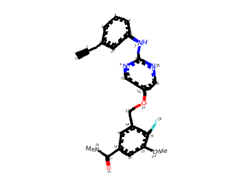 C#Cc1cccc(Nc2ncc(OCc3cc(C(=O)NC)cc(OC)c3F)cn2)c1